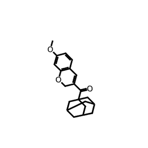 COc1ccc2c(c1)OCC(C(=O)C13CC4CC(CC(C4)C1)C3)=C2